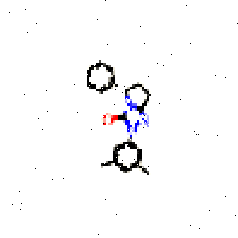 Cc1cc(C)cc(-n2nc3n(c2=O)[C@H](c2ccccc2)CC3)c1